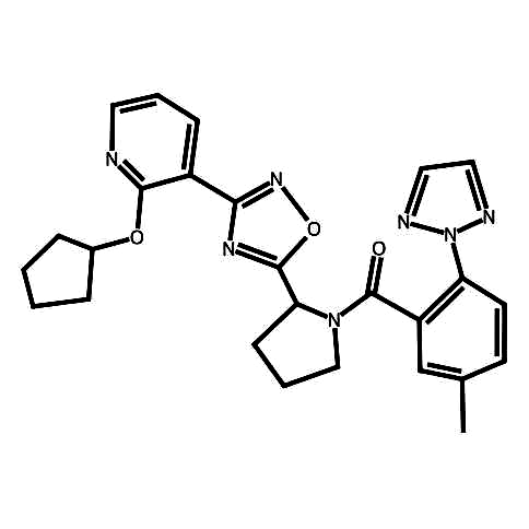 Cc1ccc(-n2nccn2)c(C(=O)N2CCCC2c2nc(-c3cccnc3OC3CCCC3)no2)c1